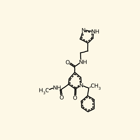 CNC(=O)c1cc(C(=O)NCCc2cn[nH]c2)cn([C@H](C)c2ccccc2)c1=O